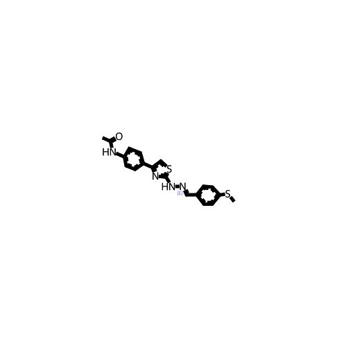 CSc1ccc(/C=N/Nc2nc(-c3ccc(NC(C)=O)cc3)cs2)cc1